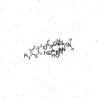 C[C@H](OCc1ccc(CF)cc1)[C@H]1O[C@@H]2SC(N(C)C)=N[C@@H]2[C@@H](O)[C@@H]1O